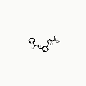 O=C(NCc1cccc(-c2ccc(C(=O)O)o2)c1)c1ccccc1